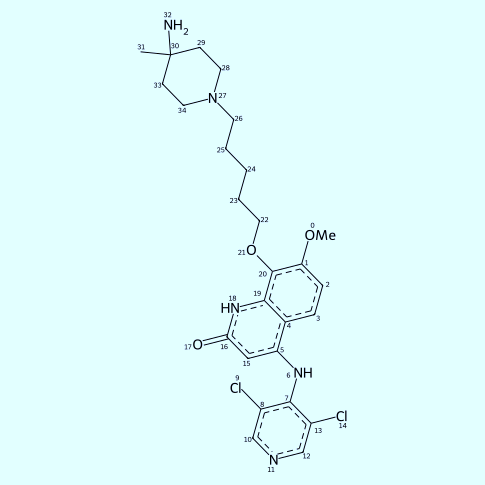 COc1ccc2c(Nc3c(Cl)cncc3Cl)cc(=O)[nH]c2c1OCCCCCN1CCC(C)(N)CC1